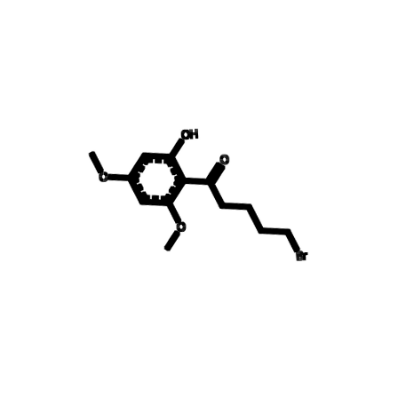 COc1cc(O)c(C(=O)CCCCBr)c(OC)c1